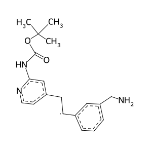 CC(C)(C)OC(=O)Nc1cc(C[CH]c2cccc(CN)c2)ccn1